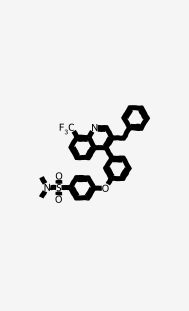 CN(C)S(=O)(=O)c1ccc(Oc2cccc(-c3c(Cc4ccccc4)cnc4c(C(F)(F)F)cccc34)c2)cc1